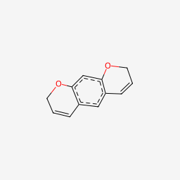 C1=Cc2cc3c(cc2OC1)OCC=C3